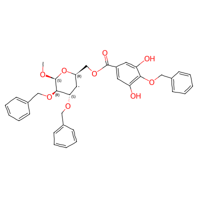 CO[C@H]1O[C@@H](COC(=O)c2cc(O)c(OCc3ccccc3)c(O)c2)[CH][C@H](OCc2ccccc2)[C@H]1OCc1ccccc1